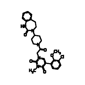 COc1c(Cl)cccc1-c1cn(CC(=O)N2CCC(N3CCc4ccccc4NC3=O)CC2)c(=O)n(C)c1=O